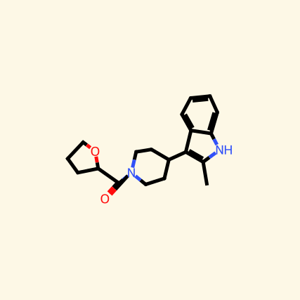 Cc1[nH]c2ccccc2c1C1CCN(C(=O)C2CCCO2)CC1